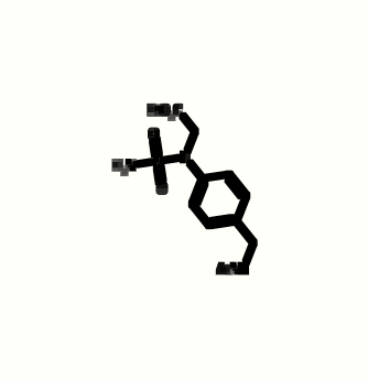 CCOC(=O)CN(c1ccc(CNC(C)=O)cc1)S(N)(=O)=O